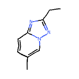 CCc1nc2ccc(C)cn2n1